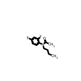 CCCCN(C(C)=O)c1ccc(F)cc1F